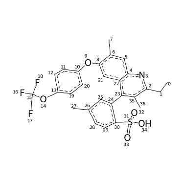 CCc1nc2cc(C)c(Oc3ccc(OC(F)(F)F)cc3)cc2c(-c2cc(C)ccc2S(=O)(=O)O)c1C